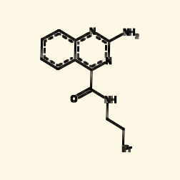 CC(C)CCNC(=O)c1nc(N)nc2ccccc12